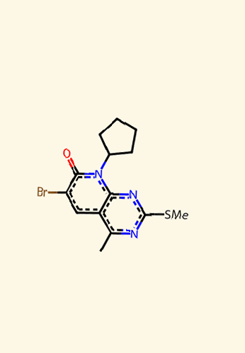 CSc1nc(C)c2cc(Br)c(=O)n(C3CCCC3)c2n1